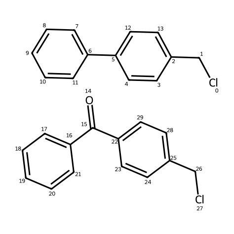 ClCc1ccc(-c2ccccc2)cc1.O=C(c1ccccc1)c1ccc(CCl)cc1